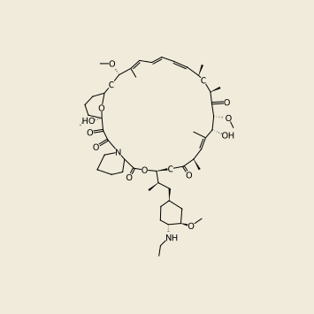 CCN[C@@H]1CC[C@@H](C[C@@H](C)[C@@H]2CC(=O)[C@H](C)/C=C(\C)[C@@H](O)[C@@H](OC)C(=O)[C@H](C)C[C@H](C)/C=C/C=C/C=C(\C)[C@@H](OC)CC3CC[C@@H](C)[C@@](O)(O3)C(=O)C(=O)N3CCCCC3C(=O)O2)C[C@H]1OC